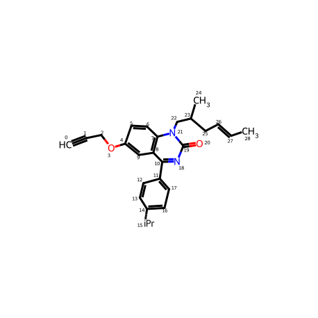 C#CCOc1ccc2c(c1)c(-c1ccc(C(C)C)cc1)nc(=O)n2CC(C)CC=CC